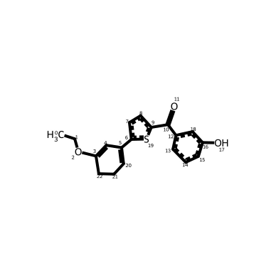 CCOC1=CC(c2ccc(C(=O)c3cccc(O)c3)s2)=CCC1